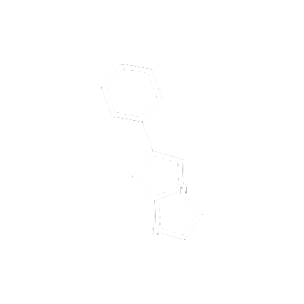 c1ccc(-c2cn3ccnc3o2)cc1